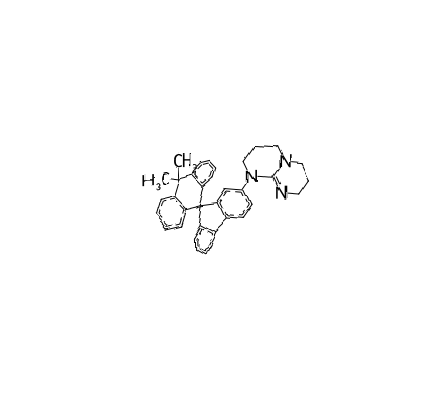 CC1(C)c2ccccc2C2(c3ccccc3-c3ccc(N4CCCN5CCCN=C54)cc32)c2ccccc21